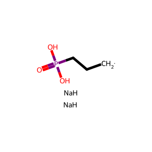 [CH2]CCP(=O)(O)O.[NaH].[NaH]